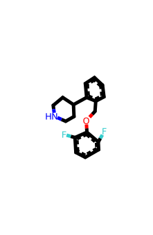 Fc1cccc(F)c1OCc1ccccc1C1CCNCC1